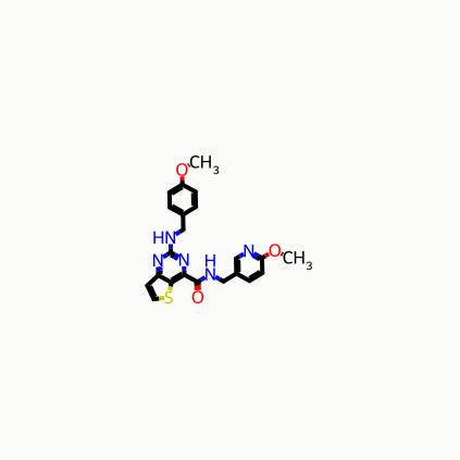 COc1ccc(CNc2nc(C(=O)NCc3ccc(OC)nc3)c3sccc3n2)cc1